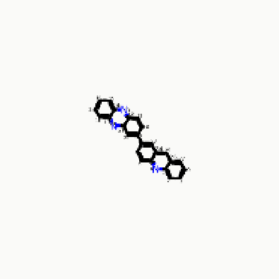 c1ccc2nc3ccc(-c4ccc5nc6ccccc6nc5c4)cc3cc2c1